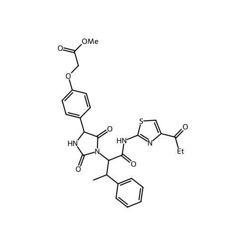 CCC(=O)c1csc(NC(=O)C(C(C)c2ccccc2)N2C(=O)NC(c3ccc(OCC(=O)OC)cc3)C2=O)n1